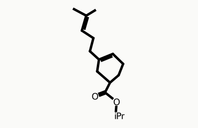 CC(C)=CCCC1=CCCC(C(=O)OC(C)C)C1